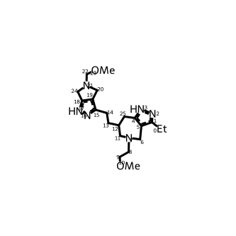 CCc1n[nH]c2c1CN(CCOC)CC(CCc1n[nH]c3c1CN(COC)C3)C2